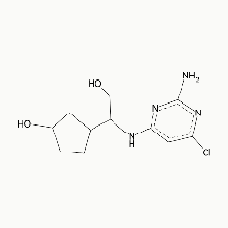 Nc1nc(Cl)cc(NC(CO)C2CCC(O)C2)n1